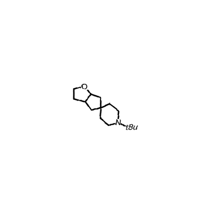 CC(C)(C)N1CCC2(CC1)CC1CCOC1C2